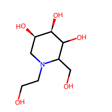 OCCN1C[C@@H](O)[C@@H](O)C(O)C1CO